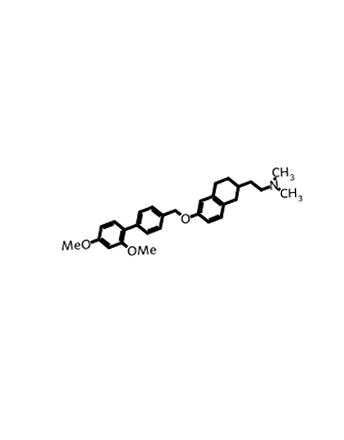 COc1ccc(-c2ccc(COc3ccc4c(c3)CCC(CCN(C)C)C4)cc2)c(OC)c1